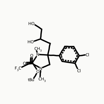 CN(CC(CC(O)CO)(c1ccc(Cl)c(Cl)c1)N(C)C(=O)OC(C)(C)C)C(=O)C(F)(F)F